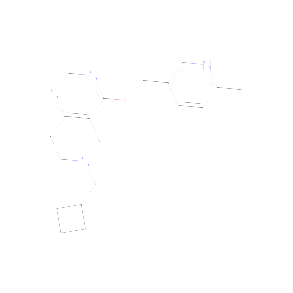 Cc1ccc(COc2ncnc3c2CN(CC2CCC2)CC3)cn1